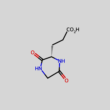 O=C(O)CC[C@@H]1NC(=O)CNC1=O